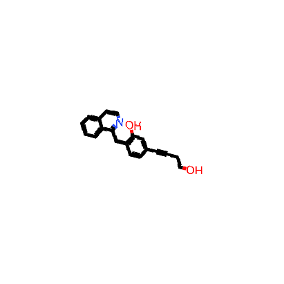 OCCC#Cc1ccc(Cc2nccc3ccccc23)c(O)c1